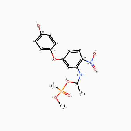 COP(C)(=O)OC(C)Nc1cc(Oc2ccc(Br)cc2)ccc1[N+](=O)[O-]